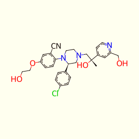 C[C@@](O)(CN1CCN(c2ccc(OCCO)cc2C#N)[C@H](c2ccc(Cl)cc2)C1)c1ccnc(CO)c1